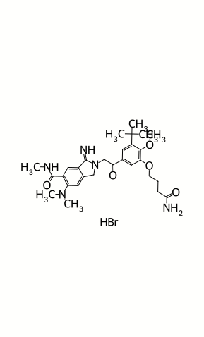 Br.CNC(=O)c1cc2c(cc1N(C)C)CN(CC(=O)c1cc(OCCCC(N)=O)c(OC)c(C(C)(C)C)c1)C2=N